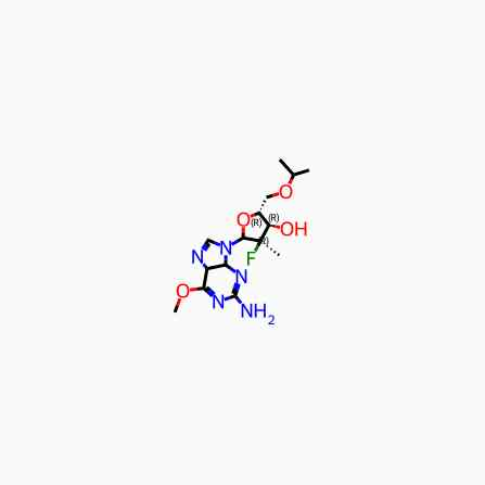 COC1=NC(N)=NC2C1N=CN2C1O[C@H](COC(C)C)[C@@H](O)[C@@]1(C)F